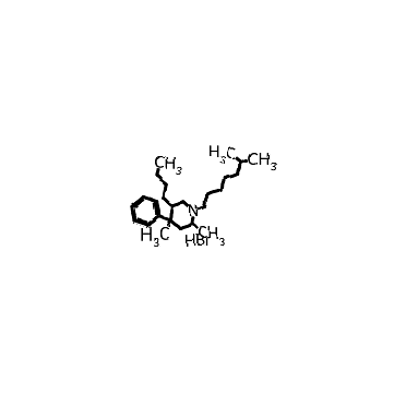 Br.CCCCC1CN(CCCCCC(C)C)C(C)CC1(C)c1ccccc1